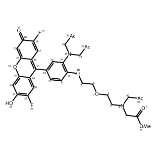 COC(=O)CN(CCOCCOc1ccc(-c2c3cc(F)c(=O)cc-3oc3cc(O)c(F)cc23)cc1N(CC(C)=O)CC(C)=O)CC(C)=O